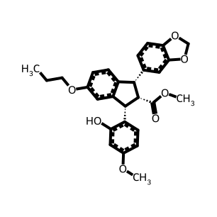 CCCOc1ccc2c(c1)[C@@H](c1ccc(OC)cc1O)[C@@H](C(=O)OC)[C@H]2c1ccc2c(c1)OCO2